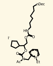 CCCCCCCCCCCCCCCCNC(=O)OCC(OC(=O)N(Cc1cccc[n+]1CC)C(C)=O)C1CCCC1.[I-]